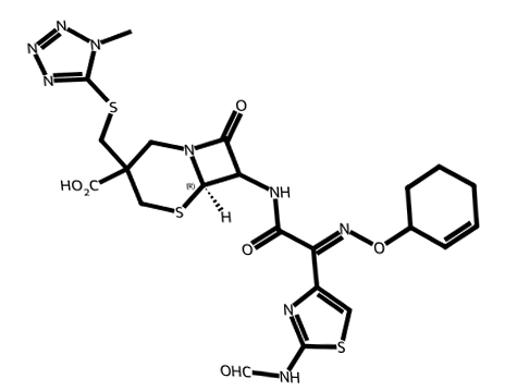 Cn1nnnc1SCC1(C(=O)O)CS[C@@H]2C(NC(=O)C(=NOC3C=CCCC3)c3csc(NC=O)n3)C(=O)N2C1